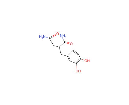 NC(=O)CC(Cc1ccc(O)c(O)c1)C(N)=O